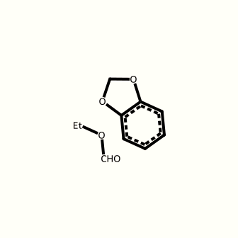 CCOC=O.c1ccc2c(c1)OCO2